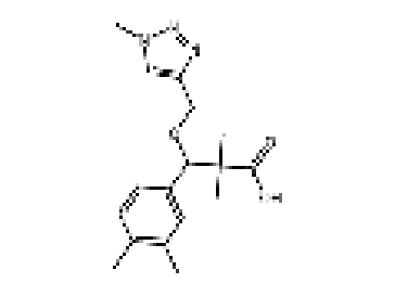 Cc1ccc(C(OCc2cn(C)nn2)C(C)(C)C(=O)O)cc1C